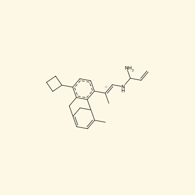 C=CC(N)N/C=C(\C)c1ccc(C2CCC2)c2c1C1CC(=CC=C1C)C2